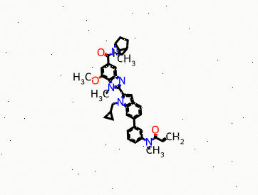 C=CC(=O)N(C)c1cccc(-c2ccc3cc(-c4nc5cc(C(=O)N6CC7CCC6[C@@H]7C)cc(OC)c5n4C)n(CC4CC4)c3c2)c1